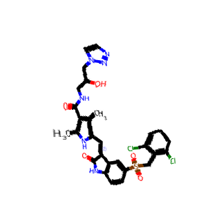 Cc1[nH]c(/C=C2\C(=O)Nc3ccc(S(=O)(=O)Cc4c(Cl)cccc4Cl)cc32)c(C)c1C(=O)NCC(O)Cn1ccnn1